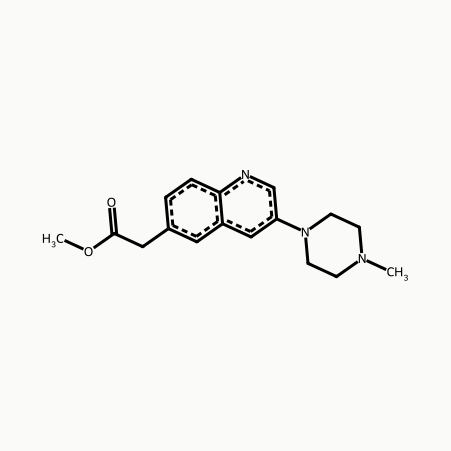 COC(=O)Cc1ccc2ncc(N3CCN(C)CC3)cc2c1